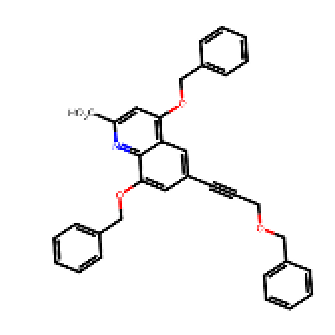 O=C(O)c1cc(OCc2ccccc2)c2cc(C#CCOCc3ccccc3)cc(OCc3ccccc3)c2n1